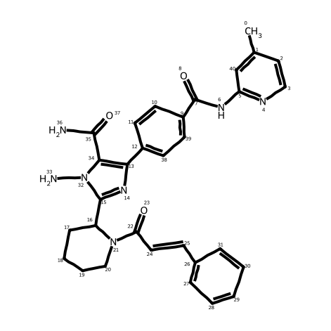 Cc1ccnc(NC(=O)c2ccc(-c3nc(C4CCCCN4C(=O)C=Cc4ccccc4)n(N)c3C(N)=O)cc2)c1